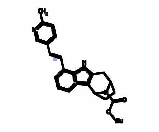 Cc1ccc(/C=C/c2cccc3c4c([nH]c23)CC2CCC4N2C(=O)OC(C)(C)C)cn1